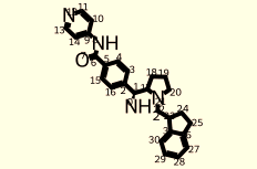 N[C@@H](c1ccc(C(=O)Nc2ccncc2)cc1)C1CCCN1CC1CCc2ccccc21